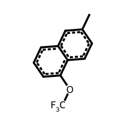 Cc1ccc2c(OC(F)(F)F)cccc2c1